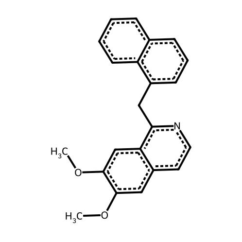 COc1cc2ccnc(Cc3cccc4ccccc34)c2cc1OC